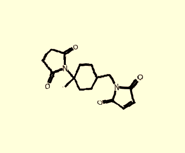 [CH2]C1(N2C(=O)CCC2=O)CCC(CN2C(=O)C=CC2=O)CC1